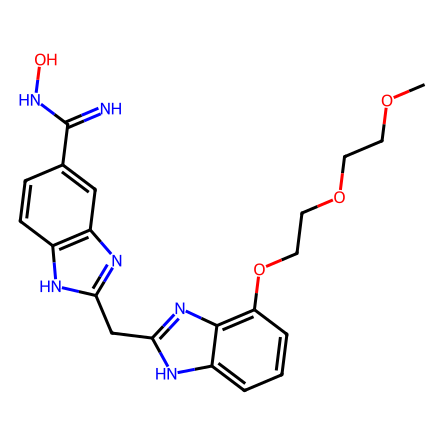 COCCOCCOc1cccc2[nH]c(Cc3nc4cc(C(=N)NO)ccc4[nH]3)nc12